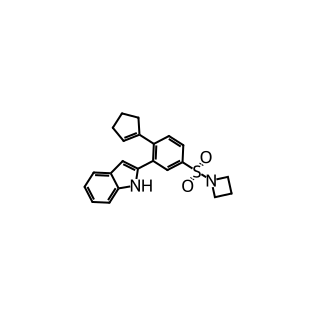 O=S(=O)(c1ccc(C2=CCCC2)c(-c2cc3ccccc3[nH]2)c1)N1CCC1